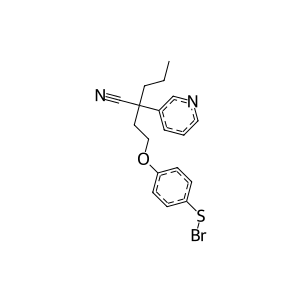 CCCC(C#N)(CCOc1ccc(SBr)cc1)c1cccnc1